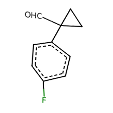 O=CC1(c2ccc(F)cc2)CC1